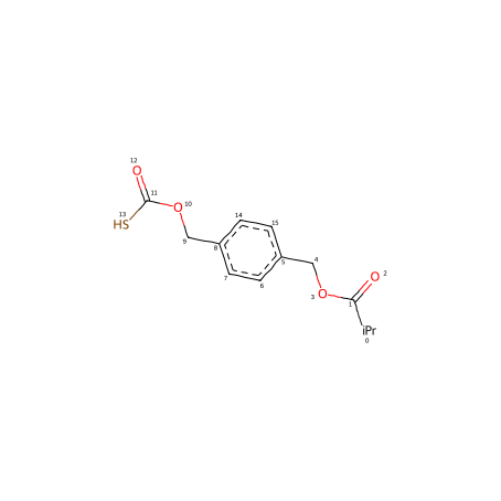 CC(C)C(=O)OCc1ccc(COC(=O)S)cc1